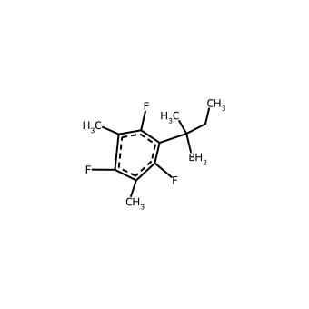 BC(C)(CC)c1c(F)c(C)c(F)c(C)c1F